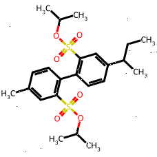 CCC(C)c1ccc(-c2ccc(C)cc2S(=O)(=O)OC(C)C)c(S(=O)(=O)OC(C)C)c1